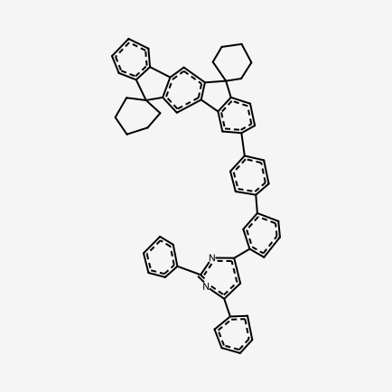 c1ccc(-c2cc(-c3cccc(-c4ccc(-c5ccc6c(c5)-c5cc7c(cc5C65CCCCC5)-c5ccccc5C75CCCCC5)cc4)c3)nc(-c3ccccc3)n2)cc1